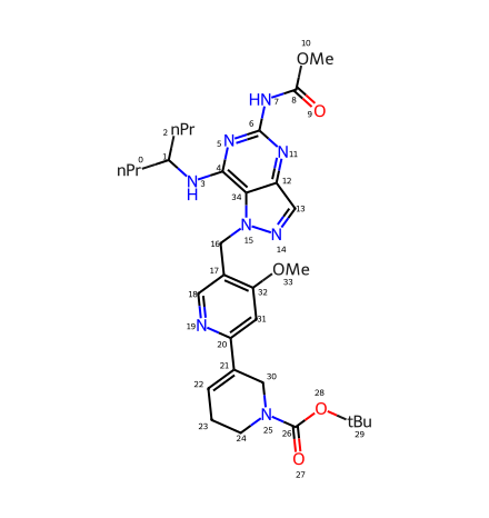 CCCC(CCC)Nc1nc(NC(=O)OC)nc2cnn(Cc3cnc(C4=CCCN(C(=O)OC(C)(C)C)C4)cc3OC)c12